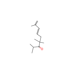 C=C(C)C=CCC(C)(C)C(=O)C(C)C